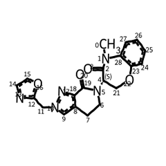 CN1C(=O)[C@@H](N2CCc3cn(Cc4ncco4)nc3C2=O)COc2ccccc21